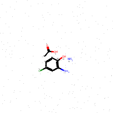 CC(=O)O.N.Nc1cc(Cl)ccc1O